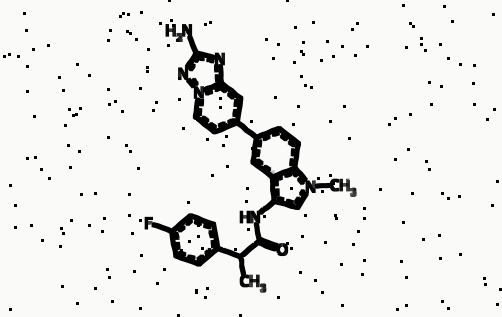 CC(C(=O)Nc1cn(C)c2ccc(-c3ccn4nc(N)nc4c3)cc12)c1ccc(F)cc1